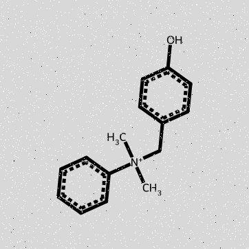 C[N+](C)(Cc1ccc(O)cc1)c1ccccc1